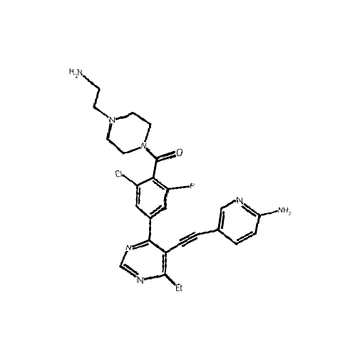 CCc1ncnc(-c2cc(F)c(C(=O)N3CCN(CCN)CC3)c(Cl)c2)c1C#Cc1ccc(N)nc1